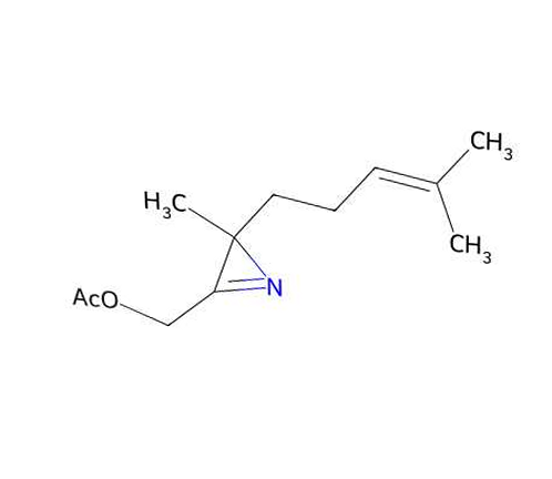 CC(=O)OCC1=NC1(C)CCC=C(C)C